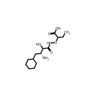 CCC(ONC(=O)C(O)[C@H](N)CC1CCCCC1)C(=O)O